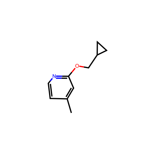 Cc1ccnc(OCC2CC2)c1